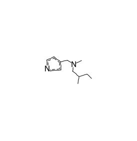 CCC(C)CN(C)Cc1ccncc1